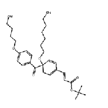 CC(C)(C)OC(=O)C=CC1=CCC(OCCCCCCO)(C(=O)c2ccc(OCCCCO)cc2)C=C1